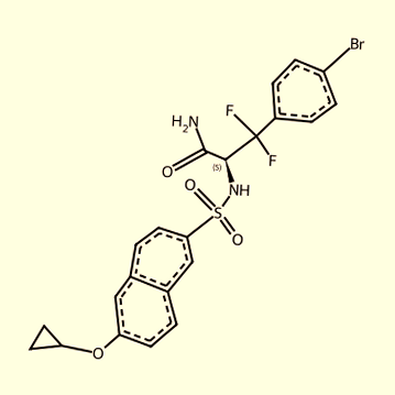 NC(=O)[C@H](NS(=O)(=O)c1ccc2cc(OC3CC3)ccc2c1)C(F)(F)c1ccc(Br)cc1